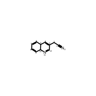 N#CCC1=CC2C=CC=CC2N=C1